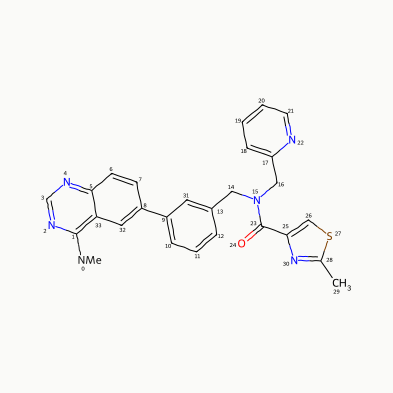 CNc1ncnc2ccc(-c3cccc(CN(Cc4ccccn4)C(=O)c4csc(C)n4)c3)cc12